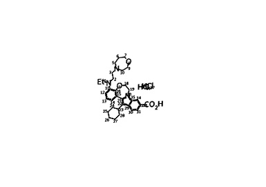 CCN(CCN1CCCOCC1)c1cccc2c1OCCn1c-2c(C2CCCCC2)c2ccc(C(=O)O)cc21.Cl.Cl